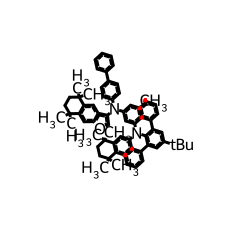 Cc1cc(N(c2ccc3c(c2)C(C)(C)CCC3(C)C)c2c(-c3ccccc3)cc(C(C)(C)C)cc2-c2ccccc2)cc(N(c2ccc(-c3ccccc3)cc2)c2coc3cc4c(cc23)C(C)(C)CCC4(C)C)c1